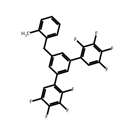 Cc1ccccc1[CH]c1cc(-c2cc(F)c(F)c(F)c2F)cc(-c2cc(F)c(F)c(F)c2F)c1